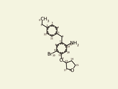 CCc1ccc(Cc2cc(Br)c(OC3CCOC3)cc2N)cc1